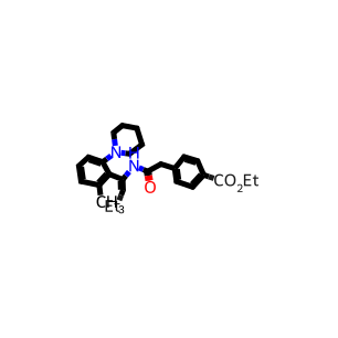 CC/C=C(/NC(=O)Cc1ccc(C(=O)OCC)cc1)c1c(C)cccc1N1CCCCC1